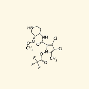 CON=C1CNCCC1NC(=O)c1c(Cl)c(Cl)c(C)n1OC(=O)C(F)(F)F